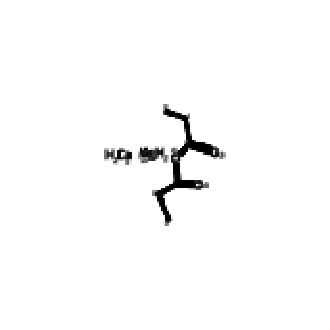 CCC(=O)OC(=O)CC.[CaH2].[MgH2]